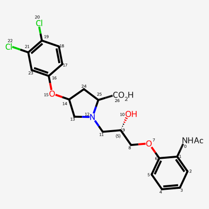 CC(=O)Nc1ccccc1OC[C@@H](O)CN1CC(Oc2ccc(Cl)c(Cl)c2)CC1C(=O)O